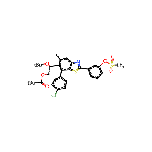 Cc1cc2nc(-c3cccc(OS(=O)(=O)C(F)(F)F)c3)sc2c(-c2ccc(Cl)cc2)c1[C@@H](COC(=O)C(C)(C)C)OC(C)(C)C